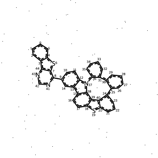 c1ccc2c(c1)sc1c(-c3ccc4c(c3)c3ccc5sc6cccc7c8ccccc8c8ccccc8n4c3c5c67)ncnc12